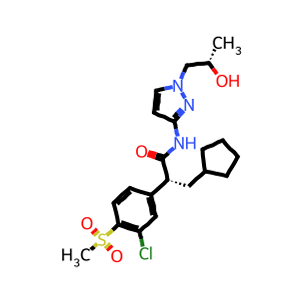 C[C@H](O)Cn1ccc(NC(=O)[C@H](CC2CCCC2)c2ccc(S(C)(=O)=O)c(Cl)c2)n1